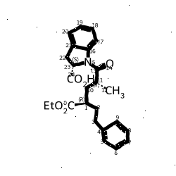 CCOC(=O)[C@H](CCc1ccccc1)C[C@@H](C)C(=O)N1c2ccccc2C[C@H]1C(=O)O